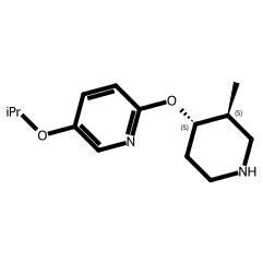 CC(C)Oc1ccc(O[C@H]2CCNC[C@@H]2C)nc1